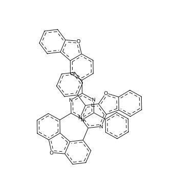 c1ccc(-c2nc(-c3ccc4oc5ccccc5c4c3)nc(-c3cccc4oc5cccc(-c6nc(-c7ccccc7)c7oc8ccccc8c7n6)c5c34)n2)cc1